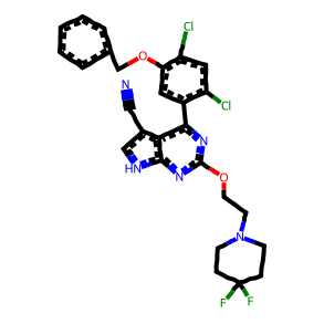 N#Cc1c[nH]c2nc(OCCN3CCC(F)(F)CC3)nc(-c3cc(OCc4ccccc4)c(Cl)cc3Cl)c12